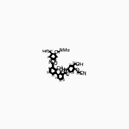 CNCOc1cc2oc(-c3cccc(-c4cccc(-c5nc6cc(CO)c(OCC#N)cc6o5)c4C)c3C)nc2cc1CO